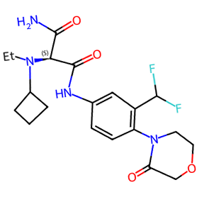 CCN(C1CCC1)[C@@H](C(N)=O)C(=O)Nc1ccc(N2CCOCC2=O)c(C(F)F)c1